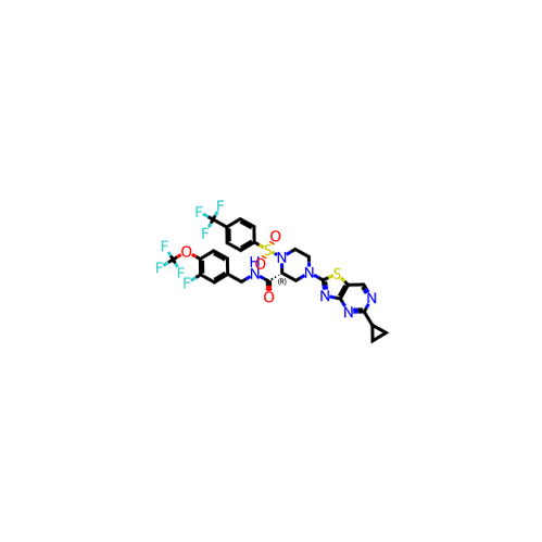 O=C(NCc1ccc(OC(F)(F)F)c(F)c1)[C@H]1CN(c2nc3nc(C4CC4)ncc3s2)CCN1S(=O)(=O)c1ccc(C(F)(F)F)cc1